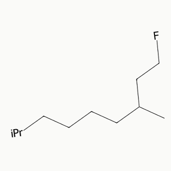 CC(C)CCCCC(C)CCF